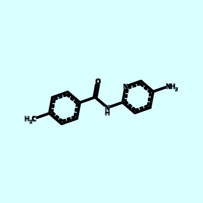 Cc1ccc(C(=O)Nc2ccc(N)cn2)cc1